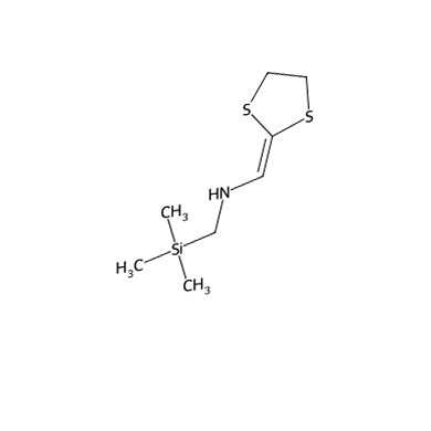 C[Si](C)(C)CNC=C1SCCS1